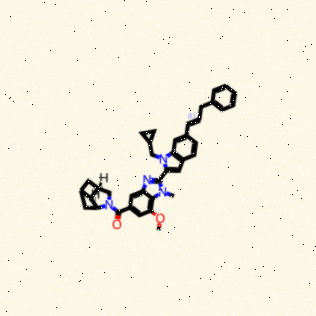 COc1cc(C(=O)N2C[C@H]3CC4CC2[C@H]43)cc2nc(-c3cc4ccc(/C=C/Cc5ccccc5)cc4n3CC3CC3)n(C)c12